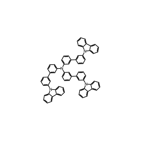 c1cc(-c2cccc(-n3c4ccccc4c4ccccc43)c2)cc(N(c2cccc(-c3cccc(-n4c5ccccc5c5ccccc54)c3)c2)c2cccc(-c3cccc(-n4c5ccccc5c5ccccc54)c3)c2)c1